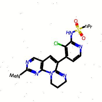 CCCS(=O)(=O)Nc1nccc(C2=Cc3cnc(NC)nc3N3CCCN=C23)c1Cl